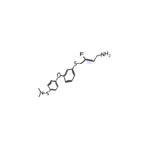 CN(C)Sc1ccc(Oc2cccc(SC/C(F)=C/CN)c2)cc1